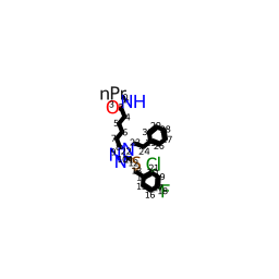 CCCNC(=O)CCCCc1nnc(SCc2ccc(F)cc2Cl)n1CCc1ccccc1